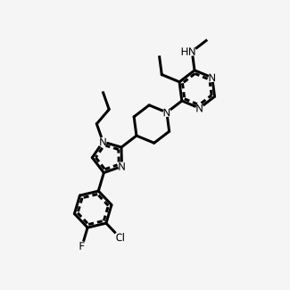 CCCn1cc(-c2ccc(F)c(Cl)c2)nc1C1CCN(c2ncnc(NC)c2CC)CC1